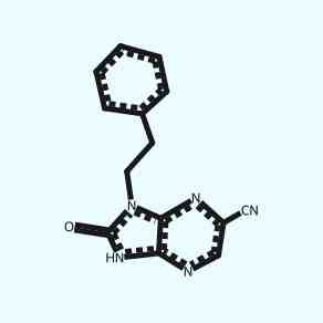 N#Cc1cnc2[nH]c(=O)n(CCc3ccccc3)c2n1